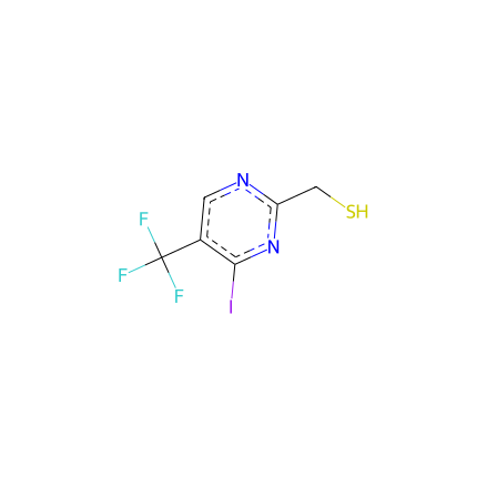 FC(F)(F)c1cnc(CS)nc1I